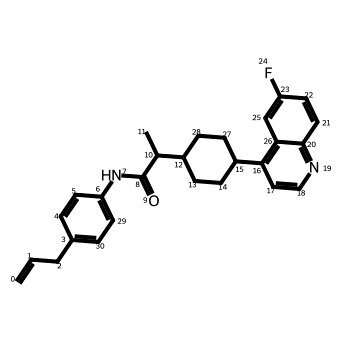 C=CCc1ccc(NC(=O)C(C)C2CCC(c3ccnc4ccc(F)cc34)CC2)cc1